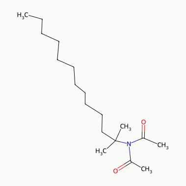 CCCCCCCCCCCC(C)(C)N(C(C)=O)C(C)=O